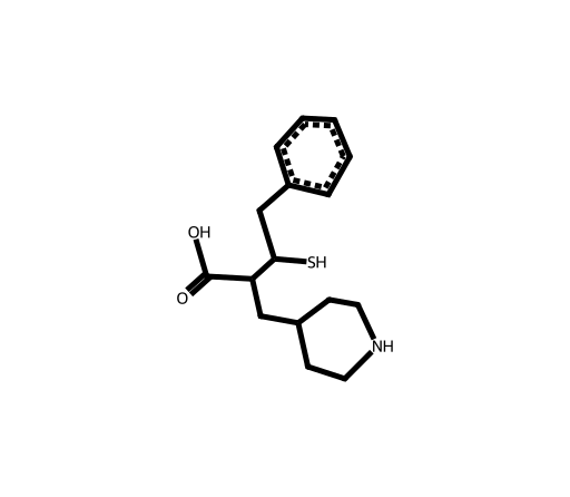 O=C(O)C(CC1CCNCC1)C(S)Cc1ccccc1